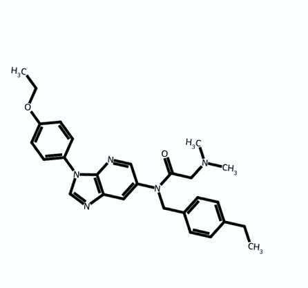 CCOc1ccc(-n2cnc3cc(N(Cc4ccc(CC)cc4)C(=O)CN(C)C)cnc32)cc1